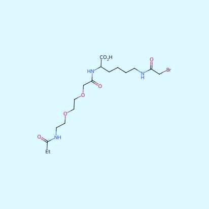 CCC(=O)NCCOCCOCC(=O)NC(CCCCNC(=O)CBr)C(=O)O